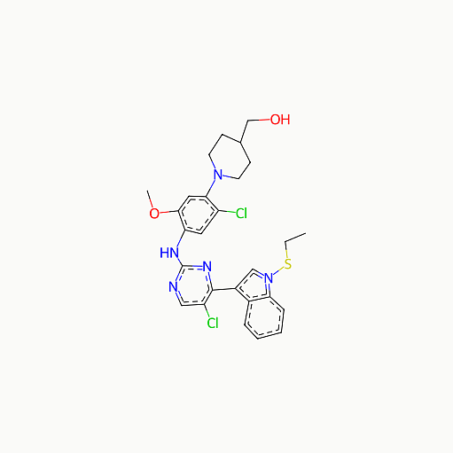 CCSn1cc(-c2nc(Nc3cc(Cl)c(N4CCC(CO)CC4)cc3OC)ncc2Cl)c2ccccc21